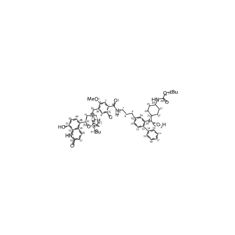 COc1cc(C(=O)NCCCc2ccc(-c3ccccc3)c(N(C(=O)O)C3CCC(NC(=O)OC(C)(C)C)CC3)c2)c(Cl)cc1CNC[C@@H](O[Si](C)(C)C(C)(C)C)c1ccc(O)c2[nH]c(=O)ccc12